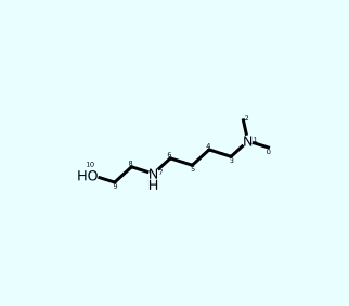 CN(C)CCCCNCCO